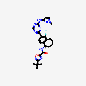 Cn1ccc(Nc2ncnc(-c3ccc4c(c3F)CCCC[C@H]4NC(=O)c3nc(C(C)(C)C)no3)n2)n1